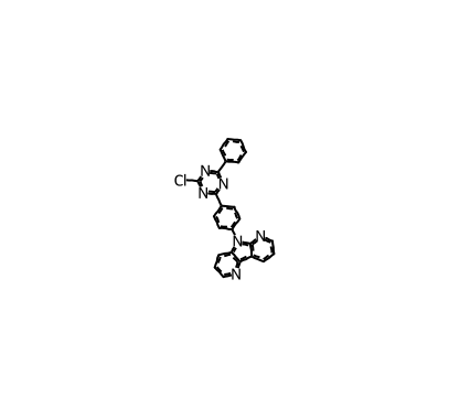 Clc1nc(-c2ccccc2)nc(-c2ccc(-n3c4cccnc4c4cccnc43)cc2)n1